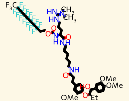 CC[C@@H](Oc1ccc(CCC(=O)NCCCCCCNC(=O)C(CCCNC(=N)N(C)C)NC(=O)OCCC(F)(F)C(F)(F)C(F)(F)C(F)(F)C(F)(F)C(F)(F)C(F)(F)C(F)(F)F)cc1OC)[C@@H](O)c1ccc(OC)c(OC)c1